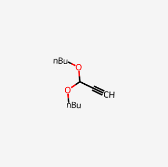 C#CC(OCCCC)OCCCC